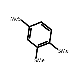 CSc1ccc(SC)c(SC)c1